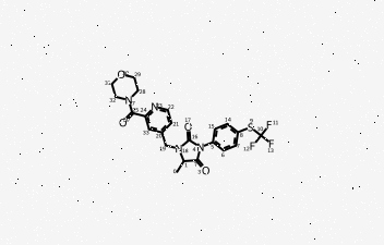 CC1C(=O)N(c2ccc(SC(F)(F)F)cc2)C(=O)N1Cc1ccnc(C(=O)N2CCOCC2)c1